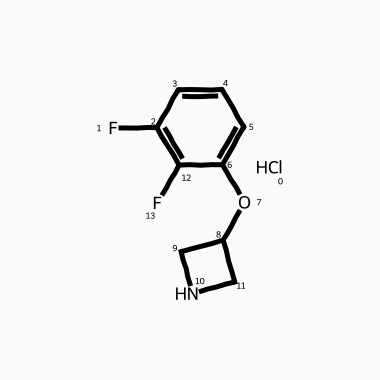 Cl.Fc1cccc(OC2CNC2)c1F